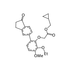 CCOc1c(OC)ccc(-c2ccc3c(c2)CCC3=O)c1OCC(=O)OCC1CC1